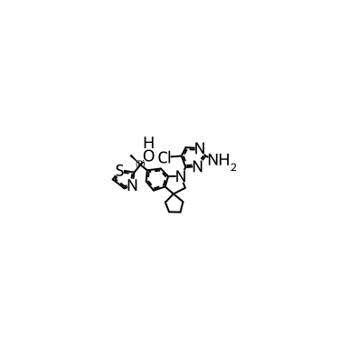 C[C@@](O)(c1ccc2c(c1)N(c1nc(N)ncc1Cl)CC21CCCC1)c1nccs1